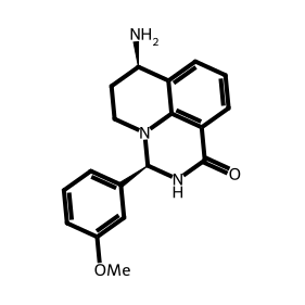 COc1cccc([C@@H]2NC(=O)c3cccc4c3N2CC[C@H]4N)c1